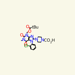 Cn1c(=O)c2c(nc(N3CCN(C(=O)O)CC3)n2-c2ccccc2Cl)n(COC(=O)C(C)(C)C)c1=O